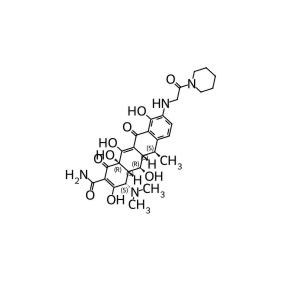 C[C@@H]1c2ccc(NCC(=O)N3CCCCC3)c(O)c2C(=O)C2=C(O)[C@@]3(O)C(=O)C(C(N)=O)=C(O)[C@@H](N(C)C)[C@H]3[C@H](O)[C@H]21